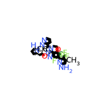 Cc1cc(N)nc(-c2c(Cl)c3c4c(nc(OCC[C@H]5CCCN5C)nc4c2F)N([C@H](C)c2cccnc2N)CCO3)c1C(F)(F)F